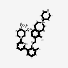 CO[C@H]1CN(c2cccc(-c3cccc(C)c3OCc3ccc4c(c3F)CCN(C3CCOCC3)CC4)n2)CC[C@H]1C(=O)O